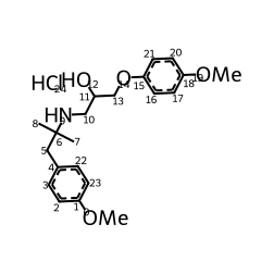 COc1ccc(CC(C)(C)NCC(O)COc2ccc(OC)cc2)cc1.Cl